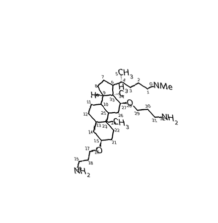 CNCCC[C@@H](C)C1CC[C@H]2C3CCC4C[C@H](OCCCN)CCC4(C)C3C[C@H](OCCCN)[C@]12C